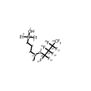 CC[N+](O)(CC)CCCN(C)SC(F)(F)C(F)(F)C(F)(F)C(F)(F)F